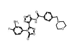 Bc1cc(-n2c(-c3nonc3NC(=O)c3ccc(CN4CCOCC4)cc3)noc2=O)ccc1F